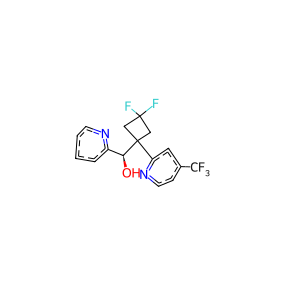 O[C@@H](c1ccccn1)C1(c2cc(C(F)(F)F)ccn2)CC(F)(F)C1